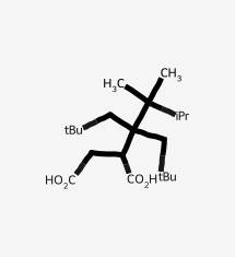 CC(C)C(C)(C)C(CC(C)(C)C)(CC(C)(C)C)C(CC(=O)O)C(=O)O